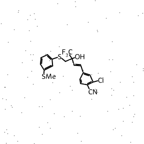 CSc1cccc(SCC(O)(/C=C/c2ccc(C#N)c(Cl)c2)C(F)(F)F)c1